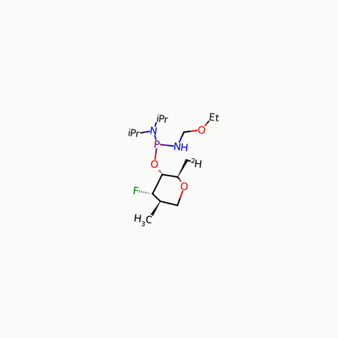 [2H]C[C@H]1OC[C@@H](C)[C@H](F)[C@@H]1OP(NCOCC)N(C(C)C)C(C)C